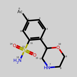 CC(=O)c1ccc(C2CNCCO2)c(S(N)(=O)=O)c1